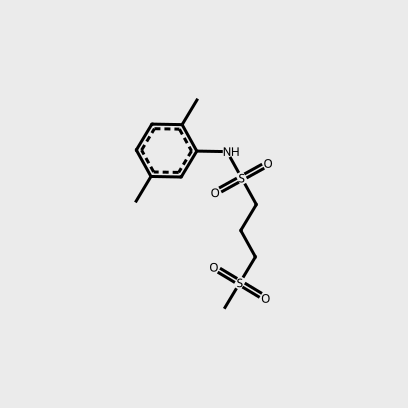 Cc1ccc(C)c(NS(=O)(=O)CCCS(C)(=O)=O)c1